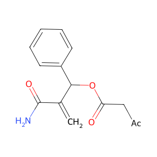 C=C(C(N)=O)C(OC(=O)CC(C)=O)c1ccccc1